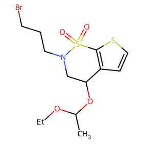 CCOC(C)OC1CN(CCCBr)S(=O)(=O)c2sccc21